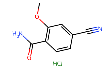 COc1cc(C#N)ccc1C(N)=O.Cl